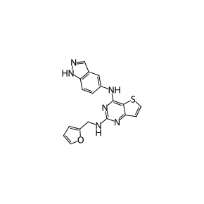 c1coc(CNc2nc(Nc3ccc4[nH]ncc4c3)c3sccc3n2)c1